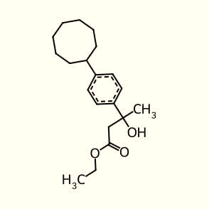 CCOC(=O)CC(C)(O)c1ccc(C2CCCCCCC2)cc1